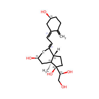 C=C1CC[C@H](O)C/C1=C/C=C1\C[C@H](O)C[C@@]2(C)[C@H]1CC[C@]2(O)[C@@H](O)CO